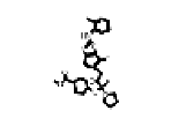 COC(=O)C1CCC(OC(F)(C(=O)Cc2ccc3nc(Nc4ccccc4C)oc3c2F)N2CCCC2)CC1